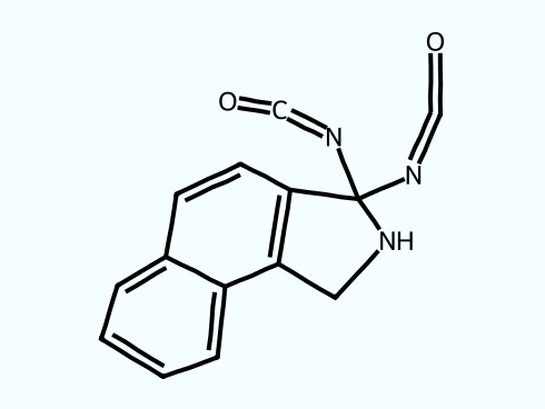 O=C=NC1(N=C=O)NCc2c1ccc1ccccc21